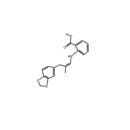 COC(=O)c1ccccc1N/C=C(/C)Cc1ccc2c(c1)OCO2